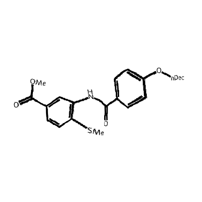 CCCCCCCCCCOc1ccc(C(=O)Nc2cc(C(=O)OC)ccc2SC)cc1